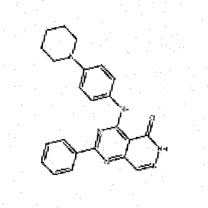 O=c1[nH]ncc2nc(-c3ccccc3)nc(Nc3ccc(N4CC[CH]CC4)cc3)c12